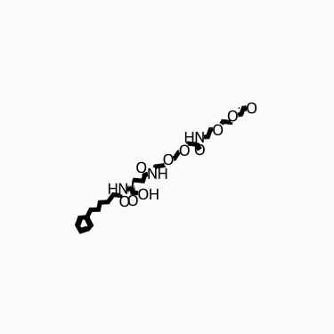 O=[C]COCCOCCNC(=O)COCCOCCNC(=O)CC[C@H](NC(=O)CCCCCc1ccccc1)C(=O)O